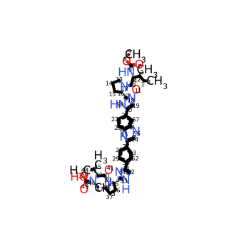 CC[C@H](C)[C@H](NC(=O)OC)C(=O)N1CCC[C@H]1c1ncc(-c2ccc3nc(-c4ccc(-c5c[nH]c([C@@H]6CCCN6C(=O)[C@H](C(C)C)N(C)C(=O)O)n5)cc4)cnc3c2)[nH]1